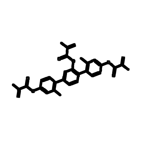 C=C(C)C(=O)Oc1ccc(-c2ccc(-c3ccc(OC(=O)C(=C)C)cc3C)c(OC(=O)C(=C)C)c2)c(C)c1